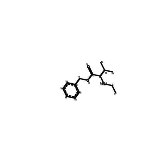 CCNC(C(=O)OCc1ccccc1)C(C)C